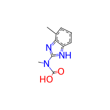 Cc1cccc2[nH]c(N(C)C(=O)O)nc12